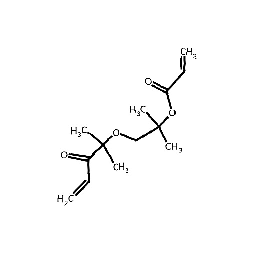 C=CC(=O)OC(C)(C)COC(C)(C)C(=O)C=C